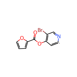 O=C(Oc1c[c]ncc1Br)c1ccco1